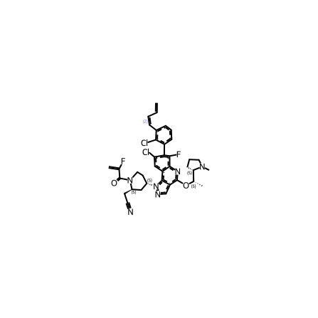 C=C/C=C\c1cccc(-c2c(Cl)cc3c(nc(O[C@@H](C)[C@@H]4CCCN4C)c4cnn([C@H]5CCN(C(=O)C(=C)F)[C@H](CC#N)C5)c43)c2F)c1Cl